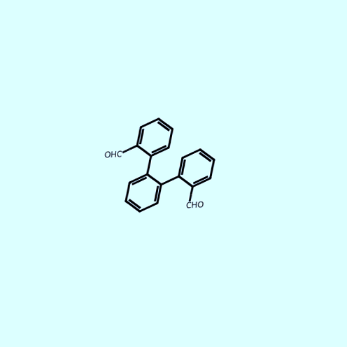 O=Cc1ccccc1-c1ccccc1-c1ccccc1C=O